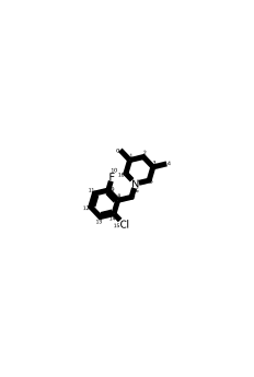 CC1CC(C)CN(Cc2c(F)cccc2Cl)C1